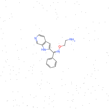 NCCO/N=C(/c1ccccc1)c1cc2ccncc2[nH]1